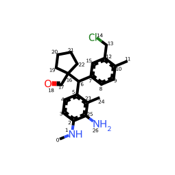 CNc1ccc(C(c2ccc(C)c(CCl)c2)C2(C=O)CCCC2)c(C)c1N